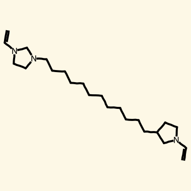 C=CN1CCC(CCCCCCCCCCCCN2CCN(C=C)C2)C1